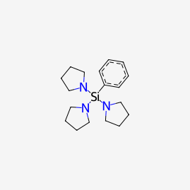 c1ccc([Si](N2CCCC2)(N2CCCC2)N2CCCC2)cc1